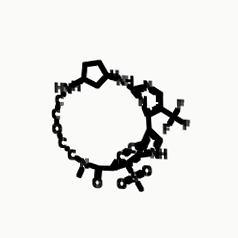 CN1CCOCCN[C@H]2CC[C@@H](C2)Nc2ncc(C(F)(F)F)c(n2)-c2c[nH]c3c(S(C)(=O)=O)c(ccc23)C1=O